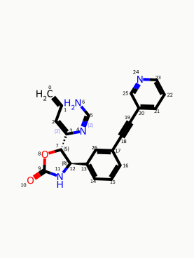 C=C/C=C(\N=C/N)[C@H]1OC(=O)N[C@@H]1c1cccc(C#Cc2cccnc2)c1